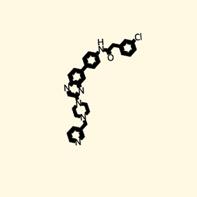 O=C(Cc1cccc(Cl)c1)Nc1ccc(-c2ccc3ncc(N4CCN(Cc5cccnc5)CC4)nc3c2)cc1